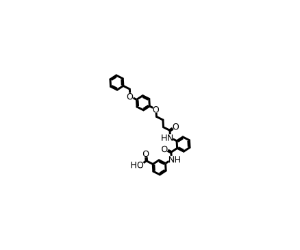 O=C(CCCOc1ccc(OCc2ccccc2)cc1)Nc1ccccc1C(=O)Nc1cccc(C(=O)O)c1